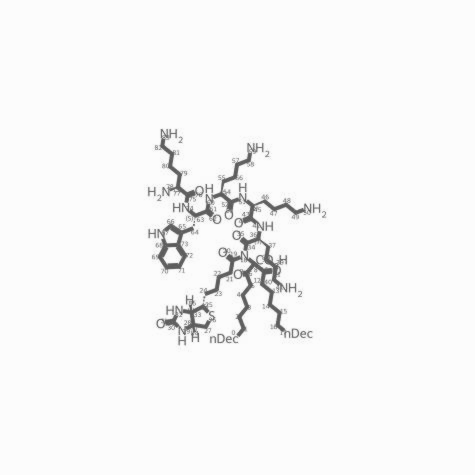 CCCCCCCCCCCCCCCC(=O)C(C(=O)O)(C(=O)CCCCCCCCCCCCCCC)N(C(=O)CCCC[C@@H]1SC[C@@H]2NC(=O)N[C@@H]21)C(=O)[C@H](CCCCN)NC(=O)[C@H](CCCCN)NC(=O)[C@H](CCCCN)NC(=O)[C@H](Cc1c[nH]c2ccccc12)NC(=O)[C@@H](N)CCCCN